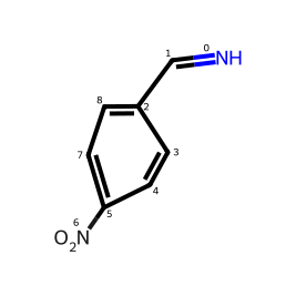 N=Cc1ccc([N+](=O)[O-])cc1